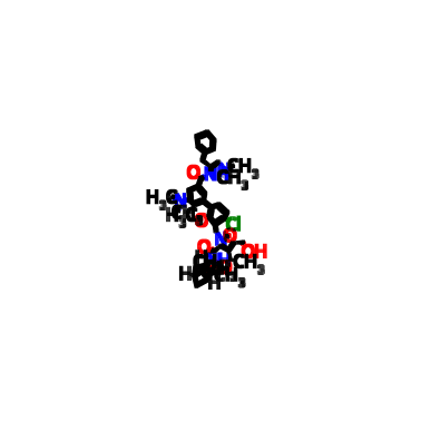 COc1c(-c2cc(C(=O)N[C@@H](Cc3ccccc3)CN(C)C)cc(N(C)C)c2)ccc(Cl)c1CN1O[C@@H](CO)[C@@H]([C@H](C)O)[C@H]1C(=O)N[C@H]1C[C@H]2C[C@@H]([C@@H]1C)C2(C)C